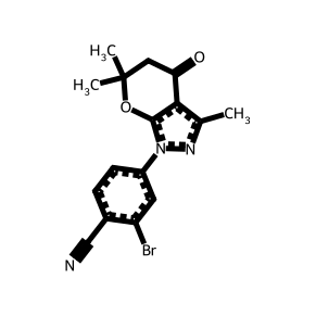 Cc1nn(-c2ccc(C#N)c(Br)c2)c2c1C(=O)CC(C)(C)O2